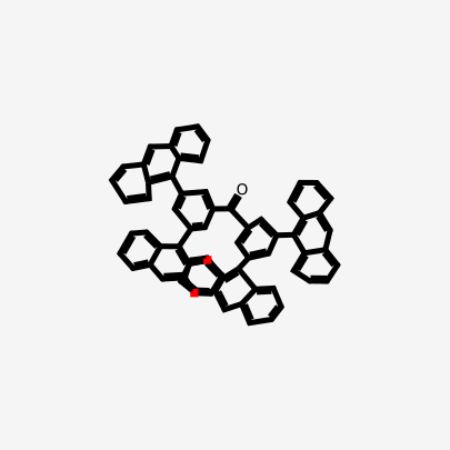 O=C(c1cc(-c2c3ccccc3cc3ccccc23)cc(-c2c3ccccc3cc3ccccc23)c1)c1cc(-c2c3ccccc3cc3ccccc23)cc(-c2c3ccccc3cc3ccccc23)c1